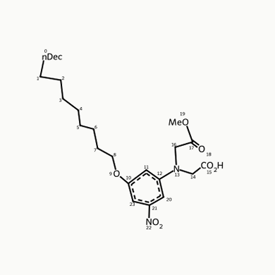 CCCCCCCCCCCCCCCCCCOc1cc(N(CC(=O)O)CC(=O)OC)cc([N+](=O)[O-])c1